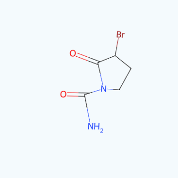 NC(=O)N1CCC(Br)C1=O